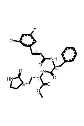 COC(=O)[C@H](CC[C@@H]1CCNC1=O)NC(=O)[C@H](Cc1ccccc1)NC(=O)/C=C/c1cc(F)cc(Cl)c1